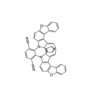 N#Cc1ccc(C#N)c(-n2c3ccccc3c3c4c(ccc32)oc2ccccc24)c1-n1c2ccccc2c2c3c(ccc21)oc1ccccc13